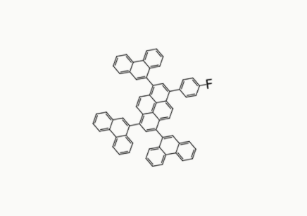 Fc1ccc(-c2cc(-c3cc4ccccc4c4ccccc34)c3ccc4c(-c5cc6ccccc6c6ccccc56)cc(-c5cc6ccccc6c6ccccc56)c5ccc2c3c54)cc1